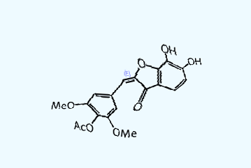 COc1cc(/C=C2/Oc3c(ccc(O)c3O)C2=O)cc(OC)c1OC(C)=O